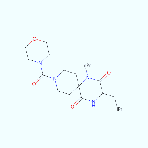 CCCN1C(=O)C(CC(C)C)NC(=O)C12CCN(C(=O)N1CCOCC1)CC2